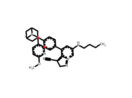 CCCCNc1cc(-c2ccc(N3CC4CC(C3)N4Cc3ccc(OC)nc3)nc2)c2[n+](c1)=NCC=2C#N